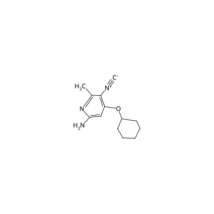 [C-]#[N+]c1c(OC2CCCCC2)cc(N)nc1C